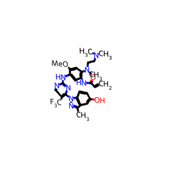 C=CC(=O)Nc1cc(Nc2ncc(C(F)(F)F)c(-n3nc(C)c4cc(O)ccc43)n2)c(OC)cc1N(C)CCN(C)C